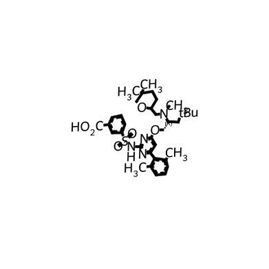 Cc1cccc(C)c1-c1cc(OC[C@@H](CC(C)(C)C)N(C)CC2CCC(C)(C)CO2)nc(NS(=O)(=O)c2cccc(C(=O)O)c2)n1